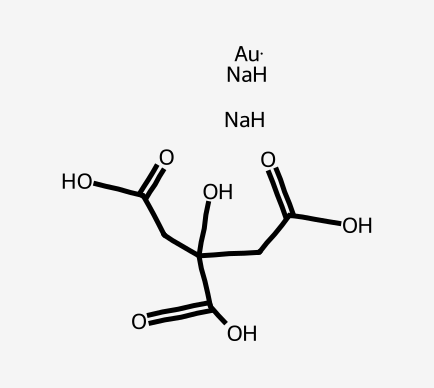 O=C(O)CC(O)(CC(=O)O)C(=O)O.[Au].[NaH].[NaH]